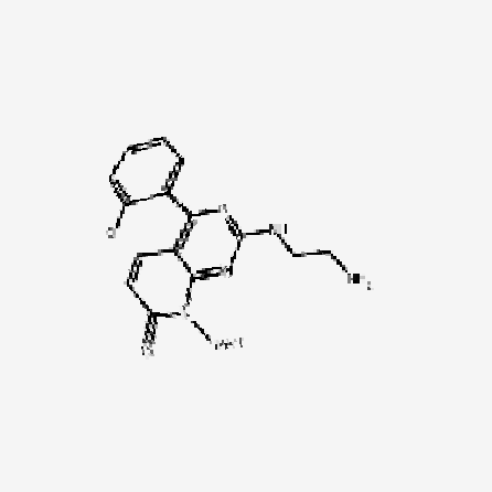 CCCCCn1c(=O)ccc2c(-c3ccccc3Cl)nc(NCCN)nc21